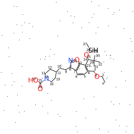 CCOCc1ccc2c(CCC3CCN(C(=O)O)CC3)noc2c1C(O[SiH](C)C)C(C)(C)C